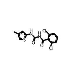 Cc1csc(NC(=O)NC(=O)c2c(Cl)cccc2Cl)c1